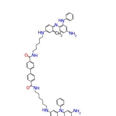 C=C1C=C(NCCCCCCNC(=O)c2ccc(-c3ccc(C(=O)NCCCCCCNc4ccc5nc6ccc(N)cc6[n+](-c6ccccc6)c5c4)cc3)cc2)C=C/C1=N/c1ccc(N)cc1Nc1ccccc1